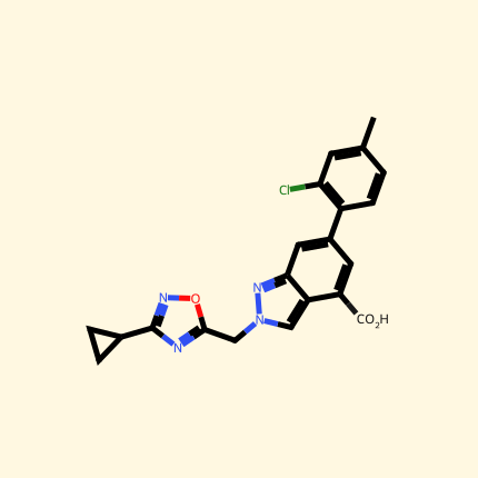 Cc1ccc(-c2cc(C(=O)O)c3cn(Cc4nc(C5CC5)no4)nc3c2)c(Cl)c1